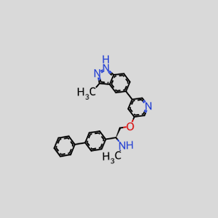 CN[C@H](COc1cncc(-c2ccc3[nH]nc(C)c3c2)c1)c1ccc(-c2ccccc2)cc1